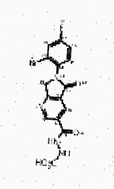 O=C(O)NNC(=O)c1cnc2c(c1)C(=O)N(c1ccc(F)cc1Br)C2